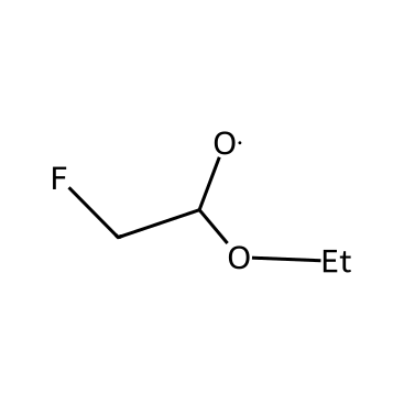 CCOC([O])CF